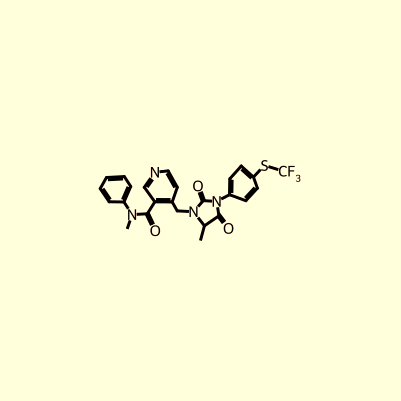 CC1C(=O)N(c2ccc(SC(F)(F)F)cc2)C(=O)N1Cc1ccncc1C(=O)N(C)c1ccccc1